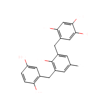 Cc1cc(Cc2cc(O)ccc2O)c(O)c(Cc2cc(O)c(O)cc2O)c1